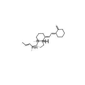 C=C1CCCCC1=CC=C1CCC[C@]2(C)[C@@H]([C@H](C)C=CC)CC[C@@H]12